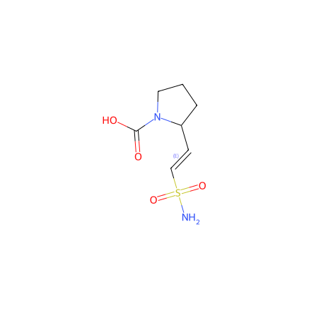 NS(=O)(=O)/C=C/C1CCCN1C(=O)O